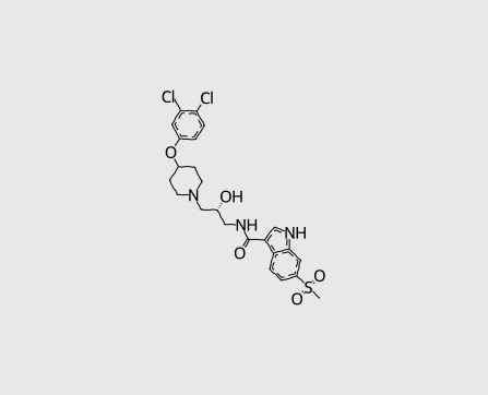 CS(=O)(=O)c1ccc2c(C(=O)NC[C@@H](O)CN3CCC(Oc4ccc(Cl)c(Cl)c4)CC3)c[nH]c2c1